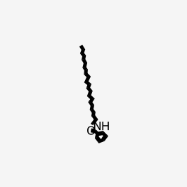 CCCCCCCCCCCCCCCCCCCCCCCNC(=O)c1ccccc1